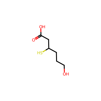 O=C(O)CC(S)CCCO